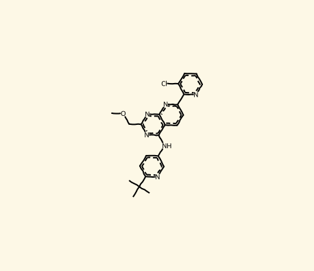 COCc1nc(Nc2ccc(C(C)(C)C)nc2)c2ccc(-c3ncccc3Cl)nc2n1